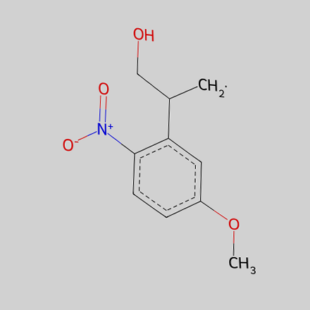 [CH2]C(CO)c1cc(OC)ccc1[N+](=O)[O-]